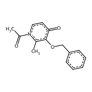 CC(=O)n1ccc(=O)c(OCc2ccccc2)c1C